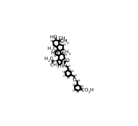 C=C(C)[C@@H]1CC[C@]2(C(=O)NCc3cccc(COCc4cccc(C(=O)O)c4)c3)CC[C@]3(C)C(CCC4[C@@]5(C)CC[C@H](O)C(C)(C)C5CC[C@]43C)C12